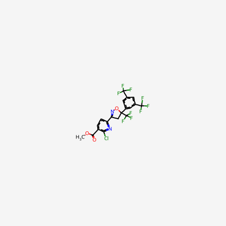 COC(=O)c1ccc(C2=NOC(c3cc(C(F)(F)F)cc(C(F)(F)F)c3)(C(F)(F)F)C2)nc1Cl